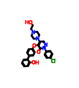 O=c1c(Oc2ccc(-c3ccccc3O)cc2)c(N2CCN(CCO)CC2)cnn1-c1ccc(Cl)cc1